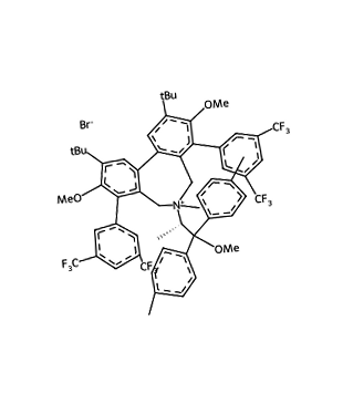 COc1c(C(C)(C)C)cc2c(c1-c1cc(C(F)(F)F)cc(C(F)(F)F)c1)C[N+](C)([C@@H](C)C(OC)(c1ccc(C)cc1)c1ccc(C)cc1)Cc1c-2cc(C(C)(C)C)c(OC)c1-c1cc(C(F)(F)F)cc(C(F)(F)F)c1.[Br-]